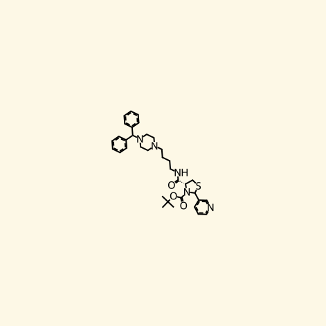 CC(C)(C)OC(=O)N1C(c2cccnc2)SC[C@H]1C(=O)NCCCCN1CCN(C(c2ccccc2)c2ccccc2)CC1